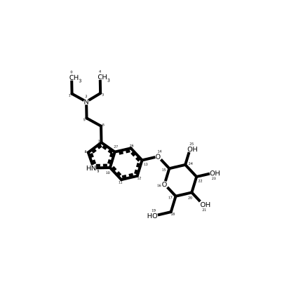 CCN(CC)CCc1c[nH]c2ccc(OC3OC(CO)C(O)C(O)C3O)cc12